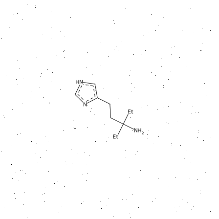 CCC(N)(CC)CCc1c[nH]cn1